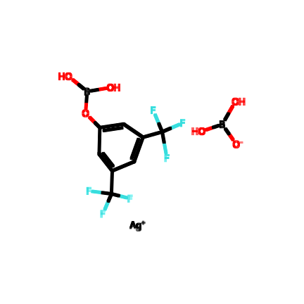 OB(O)Oc1cc(C(F)(F)F)cc(C(F)(F)F)c1.[Ag+].[O-]B(O)O